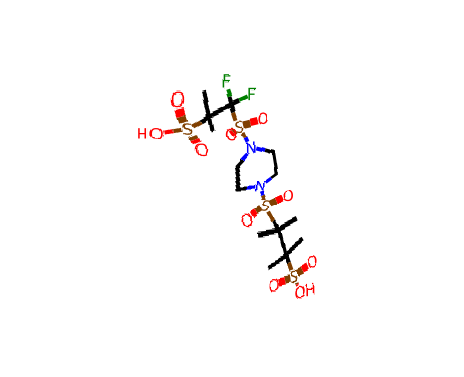 CC(C)(C(C)(C)S(=O)(=O)N1CCN(S(=O)(=O)C(F)(F)C(C)(C)S(=O)(=O)O)CC1)S(=O)(=O)O